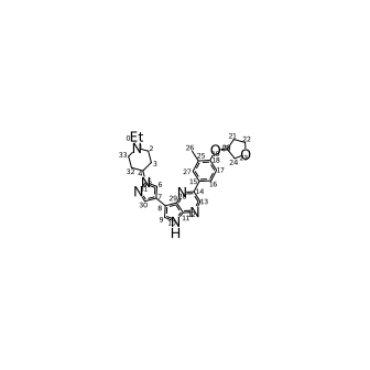 CCN1CCC(n2cc(-c3c[nH]c4ncc(-c5ccc(O[C@H]6CCOC6)c(C)c5)nc34)cn2)CC1